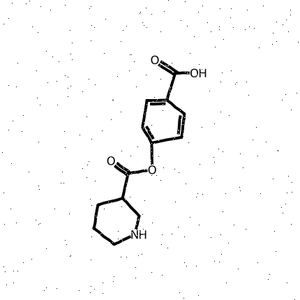 O=C(O)c1ccc(OC(=O)C2CCCNC2)cc1